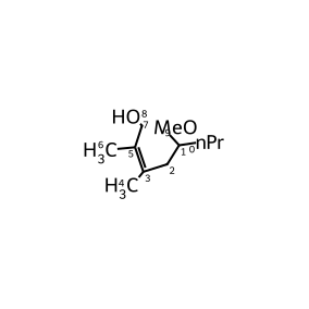 CCCC(CC(C)=C(C)CO)OC